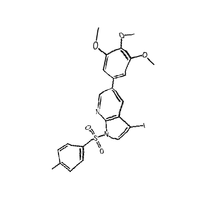 COc1cc(-c2cnc3c(c2)c(I)cn3S(=O)(=O)c2ccc(C)cc2)cc(OC)c1OC